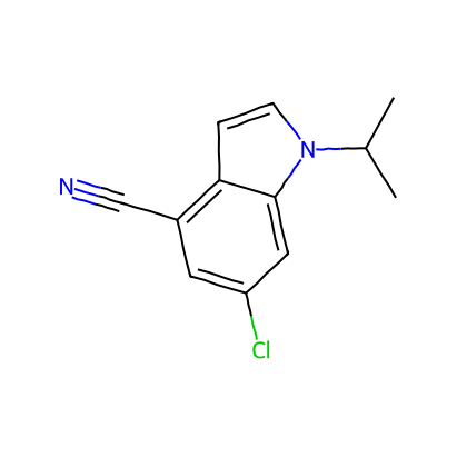 CC(C)n1ccc2c(C#N)cc(Cl)cc21